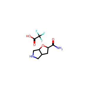 NC(=O)C1CC2CNCC2O1.O=C(O)C(F)(F)F